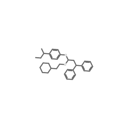 CCC(C)c1ccc(OC(CC(c2ccccc2)c2ccccc2)OCCC2CCCCC2)cc1